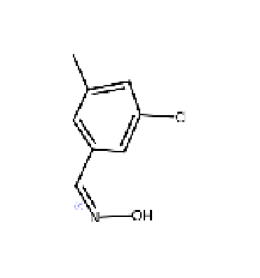 Cc1cc(Cl)cc(/C=N\O)c1